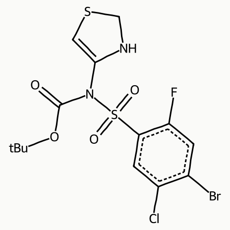 CC(C)(C)OC(=O)N(C1=CSCN1)S(=O)(=O)c1cc(Cl)c(Br)cc1F